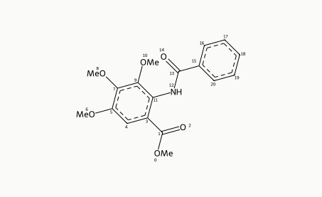 COC(=O)c1cc(OC)c(OC)c(OC)c1NC(=O)c1ccccc1